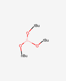 CCCCOB(OC(C)(C)C)OC(C)(C)C